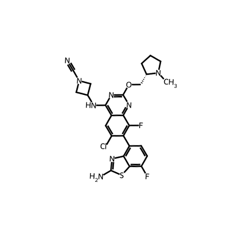 CN1CCC[C@H]1COc1nc(NC2CN(C#N)C2)c2cc(Cl)c(-c3ccc(F)c4sc(N)nc34)c(F)c2n1